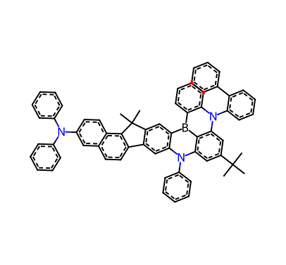 CC(C)(C)c1cc2c3c(c1)N(c1ccccc1-c1ccccc1)c1ccccc1B3c1cc3c(cc1N2c1ccccc1)-c1ccc2cc(N(c4ccccc4)c4ccccc4)ccc2c1C3(C)C